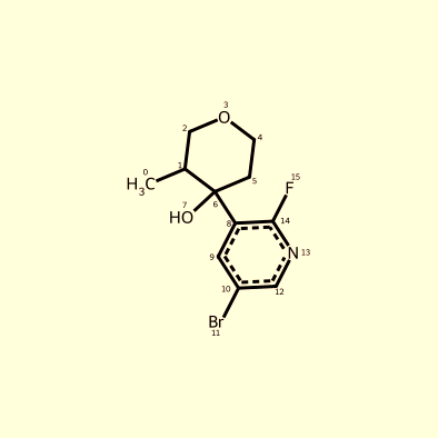 CC1COCCC1(O)c1cc(Br)cnc1F